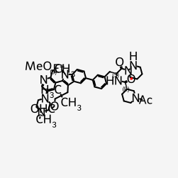 CCn1c(-c2cc(N3CCN(C)CC3)cnc2[C@H](C)OC)c(CC(C)(C)COC=O)c2cc(-c3cccc(C[C@H](NC(=O)[C@@H]4CCCN(C(C)=O)C4)C(=O)N4CCCCN4)c3)ccc21